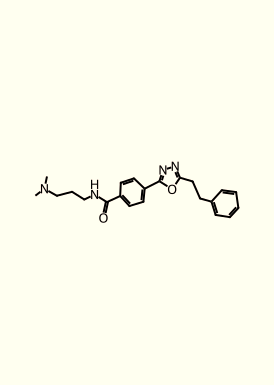 CN(C)CCCNC(=O)c1ccc(-c2nnc(CCc3ccccc3)o2)cc1